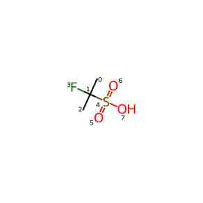 CC(C)(F)S(=O)(=O)O